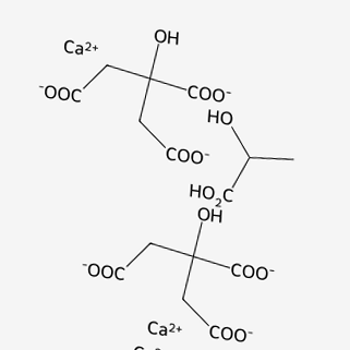 CC(O)C(=O)O.O=C([O-])CC(O)(CC(=O)[O-])C(=O)[O-].O=C([O-])CC(O)(CC(=O)[O-])C(=O)[O-].[Ca+2].[Ca+2].[Ca+2]